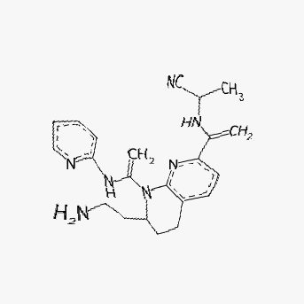 C=C(NC(C)C#N)c1ccc2c(n1)N(C(=C)Nc1ccccn1)C(CCN)CC2